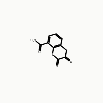 NC(=O)c1cccc2c1SC(=O)C(=O)C2